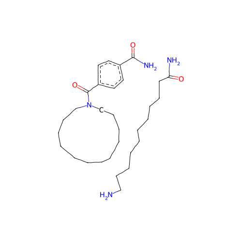 NC(=O)c1ccc(C(=O)N2CCCCCCCCCCCC2)cc1.NCCCCCCCCCCC(N)=O